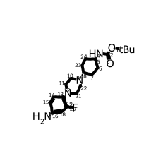 CC(C)(C)OC(=O)N[C@H]1CC[C@H](N2CCN(c3ccc(N)cc3F)CC2)CC1